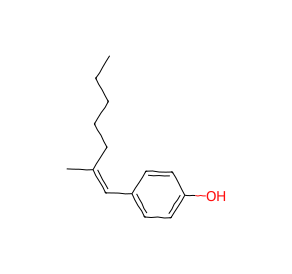 CCCCCC(C)=Cc1ccc(O)cc1